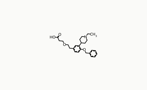 CCN1CCC(c2cc(CCOCCC(=O)O)ccc2OCc2ccccc2)CC1